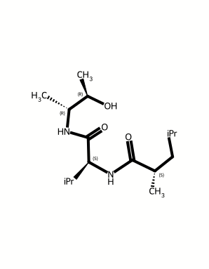 CC(C)C[C@H](C)C(=O)N[C@H](C(=O)N[C@H](C)[C@@H](C)O)C(C)C